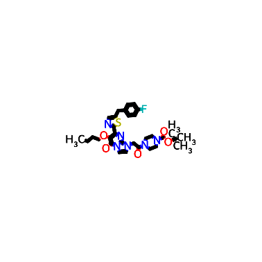 CCCCOc1c(-c2ncc(Cc3ccc(F)cc3)s2)nc2n(CC(=O)N3CCN(C(=O)OC(C)(C)C)CC3)ccn2c1=O